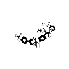 C[C@@H]1CCCN(C(=O)[C@@H](CO)c2ccc(Nc3ncc(-c4ccc(OC(F)F)cc4)cn3)cc2)C1